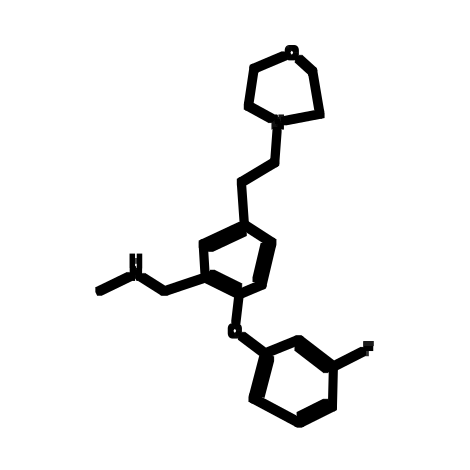 CNCc1cc(CCN2CCOCC2)ccc1Oc1cccc(F)c1